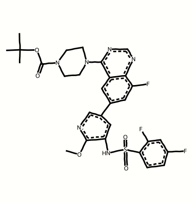 COc1ncc(-c2cc(F)c3ncnc(N4CCN(C(=O)OC(C)(C)C)CC4)c3c2)cc1NS(=O)(=O)c1ccc(F)cc1F